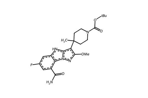 COc1nn2c([nH]c3cc(F)cc(C(N)=O)c32)c1C1(C)CCN(C(=O)OC(C)(C)C)CC1